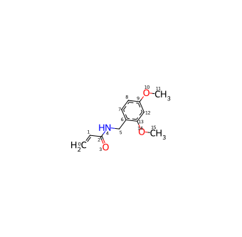 C=CC(=O)NCc1ccc(OC)cc1OC